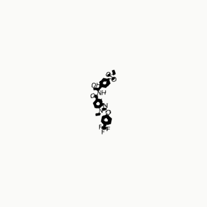 CCn1c(Oc2ccc(C(F)(F)F)cc2)nc2cc(C(=O)NC(CO)c3ccc(S(=O)(=O)CC)cc3)ccc21